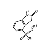 Cl.O=C1Cc2c(cccc2S(=O)(=O)O)N1